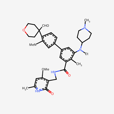 CCN(c1cc(-c2ccc(C3(C=O)CCOCC3)c(NC)c2)cc(C(=O)NCc2c(OC)cc(C)[nH]c2=O)c1C)C1CCN(C)CC1